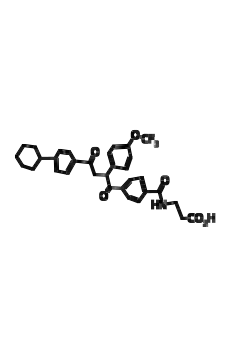 O=C(O)CCNC(=O)c1ccc(C(=O)C(CC(=O)c2ccc(C3CCCCC3)cc2)c2ccc(OC(F)(F)F)cc2)cc1